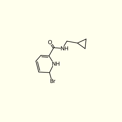 O=C(NCC1CC1)C1=CC=CC(Br)N1